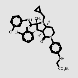 CCOC(=O)CNc1ccc(N2CC[C@H]3[C@@H](C2=O)[C@H](c2cccc(Cl)c2F)[C@](C)(C(=O)Nc2cccc(Cl)c2)N3CC2CC2)cc1